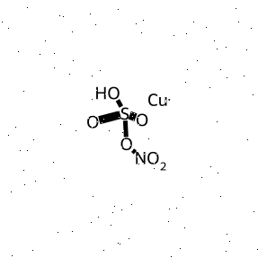 O=[N+]([O-])OS(=O)(=O)O.[Cu]